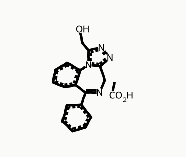 CC(=O)O.OCc1nnc2n1-c1ccccc1C(c1ccccc1)=NC2